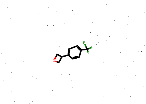 FC(F)(F)c1ccc(C2COC2)cc1